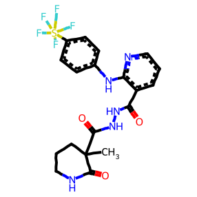 CC1(C(=O)NNC(=O)c2cccnc2Nc2ccc(S(F)(F)(F)(F)F)cc2)CCCNC1=O